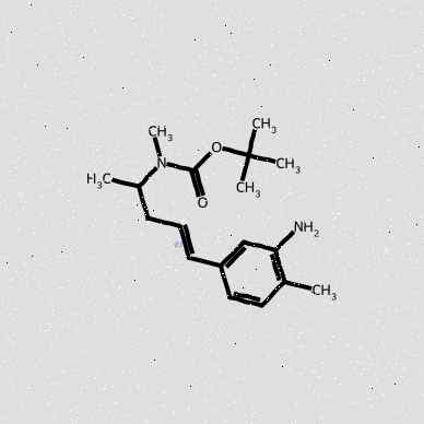 Cc1ccc(/C=C/CC(C)N(C)C(=O)OC(C)(C)C)cc1N